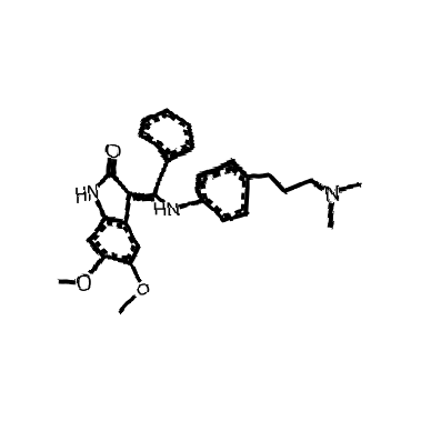 COc1cc2c(cc1OC)C(=C(Nc1ccc(CCCN(C)C)cc1)c1ccccc1)C(=O)N2